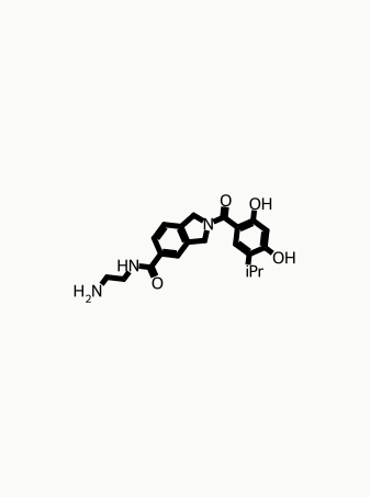 CC(C)c1cc(C(=O)N2Cc3ccc(C(=O)NCCN)cc3C2)c(O)cc1O